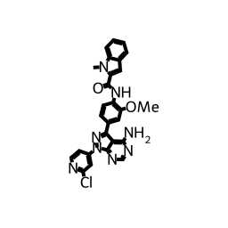 COc1cc(-c2nn(-c3ccnc(Cl)c3)c3ncnc(N)c23)ccc1NC(=O)c1cc2ccccc2n1C